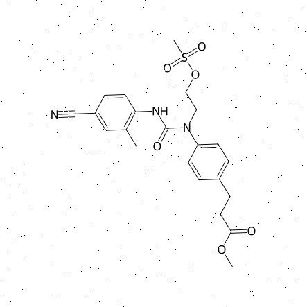 COC(=O)CCc1ccc(N(CCOS(C)(=O)=O)C(=O)Nc2ccc(C#N)cc2C)cc1